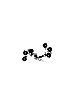 [CH3][SnH]([CH2]CCNC(=O)c1cccc2nc3cccc(Oc4ccccc4)c3nc12)[CH2]CCNC(=O)c1cccc2nc3cccc(Oc4ccccc4)c3nc12